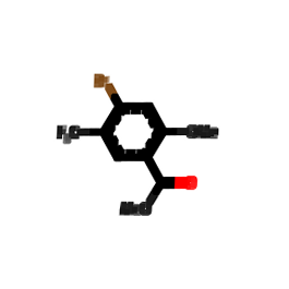 COC(=O)c1cc(C(F)(F)F)c(Br)cc1OC